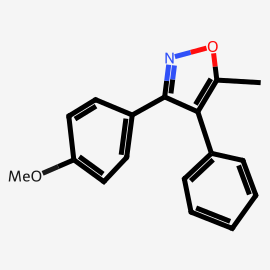 COc1ccc(-c2noc(C)c2-c2ccccc2)cc1